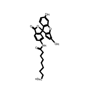 CCCCCCCCCCCCCCCCCC(=O)Nc1ccc2c(c1)C1(OC2=O)c2ccc(O)cc2Oc2cc(O)ccc21